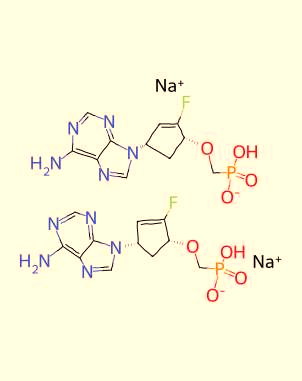 Nc1ncnc2c1ncn2[C@@H]1C=C(F)[C@H](OCP(=O)([O-])O)C1.Nc1ncnc2c1ncn2[C@@H]1C=C(F)[C@H](OCP(=O)([O-])O)C1.[Na+].[Na+]